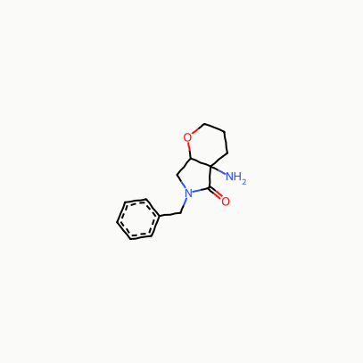 NC12CCCOC1CN(Cc1ccccc1)C2=O